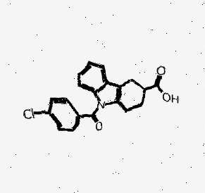 O=C(O)C1CCc2c(c3ccccc3n2C(=O)c2ccc(Cl)cc2)C1